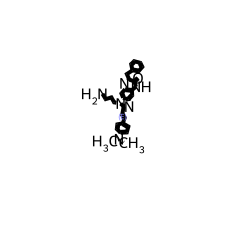 CN(C)c1ccc(/C=C/c2nc3cc4[nH]c(=O)c(Cc5ccccc5)nc4cc3n2CCCN)cc1